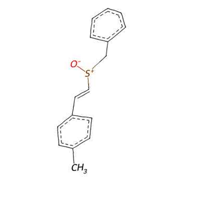 Cc1ccc(C=C[S+]([O-])Cc2ccccc2)cc1